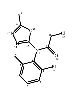 CCc1cccc(C)c1N(C(=O)CCl)c1nnc(C)o1